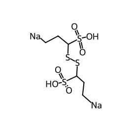 O=S(=O)(O)C(C[CH2][Na])SSC(C[CH2][Na])S(=O)(=O)O